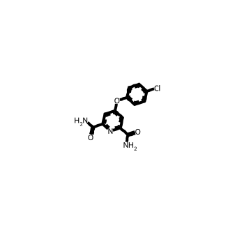 NC(=O)c1cc(Oc2ccc(Cl)cc2)cc(C(N)=O)n1